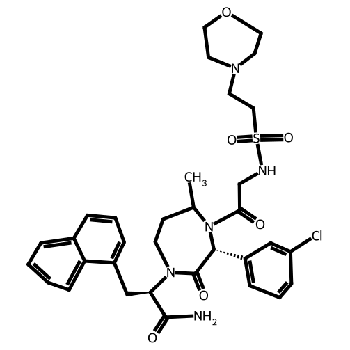 CC1CCN([C@H](Cc2cccc3ccccc23)C(N)=O)C(=O)[C@@H](c2cccc(Cl)c2)N1C(=O)CNS(=O)(=O)CCN1CCOCC1